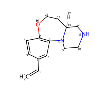 C=Cc1ccc2c(c1)N1CCNC[C@@H]1CCO2